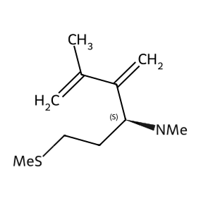 C=C(C)C(=C)[C@H](CCSC)NC